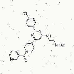 CC(=O)NCCNc1cc(N2CCN(C(=O)c3cccnc3)CC2)nc(-c2ccc(Cl)cc2)n1